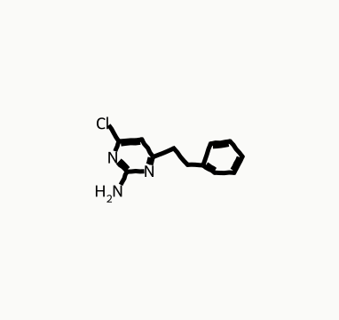 Nc1nc(Cl)cc(CCc2ccccc2)n1